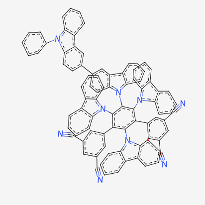 N#Cc1cc(C#N)cc(-c2c(-n3c4ccccc4c4ccccc43)c(-c3cc(C#N)cc(C#N)c3)c(-n3c4ccccc4c4ccccc43)c(-n3c4ccccc4c4cc(-c5ccc6c(c5)c5ccccc5n6-c5ccccc5)ccc43)c2-n2c3ccccc3c3ccccc32)c1